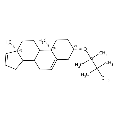 CC(C)(C)[Si](C)(C)O[C@H]1CC[C@@]2(C)C(=CCC3C4CC=C[C@@]4(C)CCC32)C1